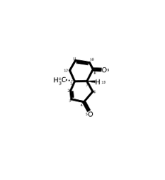 C[C@@]12C=CC(=O)C[C@H]1C(=O)C=CC2